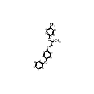 CC(COc1ccc(Oc2ccccc2)cc1)Oc1ccc(C(F)(F)F)cn1